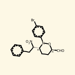 O=C[C@H]1CC[C@H](C(Cc2ccccc2)[N+](=O)[O-])N(c2ccc(Br)cc2)O1